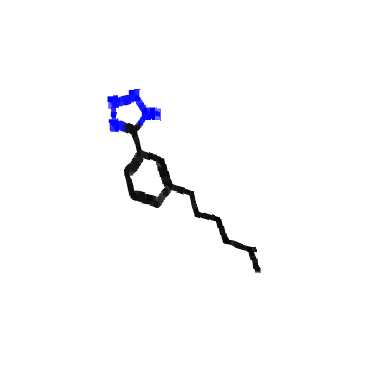 C[CH]CCCCc1cccc(-c2nnn[nH]2)c1